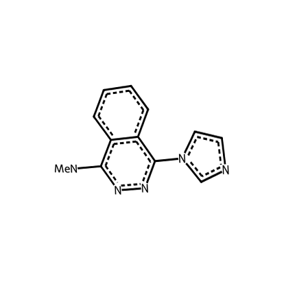 CNc1nnc(-n2ccnc2)c2ccccc12